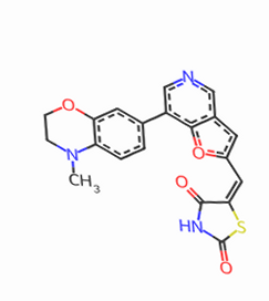 CN1CCOc2cc(-c3cncc4cc(C=C5SC(=O)NC5=O)oc34)ccc21